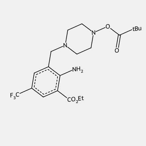 CCOC(=O)c1cc(C(F)(F)F)cc(CN2CCN(OC(=O)C(C)(C)C)CC2)c1N